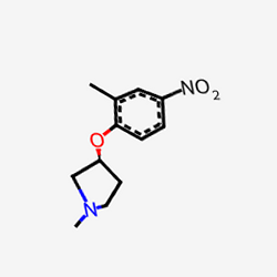 Cc1cc([N+](=O)[O-])ccc1O[C@H]1CCN(C)C1